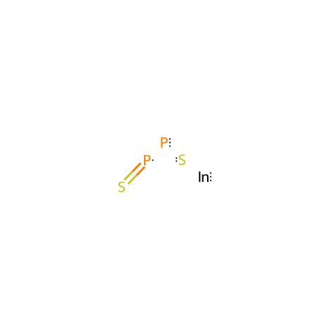 [In].[P].[P]=S.[S]